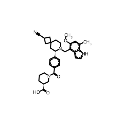 COc1cc(C)c2[nH]ccc2c1CN1CCC2(CC(C#N)C2)C[C@H]1c1ccc(C(=O)N2CCC[C@@H](C(=O)O)C2)cc1